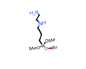 CCC(C)O[Si](CCCNCCN)(OC)OC